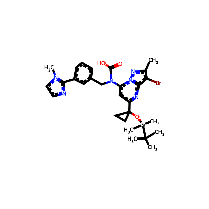 Cc1nn2c(N(Cc3cccc(-c4nccn4C)c3)C(=O)O)cc(C3(O[Si](C)(C)C(C)(C)C)CC3)nc2c1Br